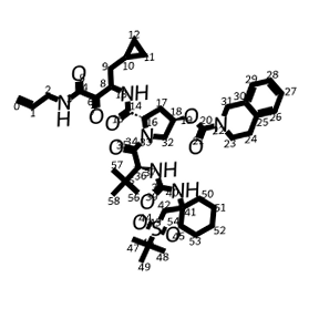 C=CCNC(=O)C(=O)C(CC1CC1)NC(=O)[C@@H]1C[C@@H](OC(=O)N2CCc3ccccc3C2)CN1C(=O)[C@@H](NC(=O)NC1(CS(=O)(=O)C(C)(C)C)CCCCC1)C(C)(C)C